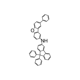 c1ccc(-c2ccc3oc4ccc(Nc5ccc6c(c5)-c5ccccc5C6(c5ccccc5)c5ccccc5)cc4c3c2)cc1